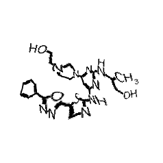 CC(CO)Nc1nc(Nc2ncc(-c3nnc(-c4ccccc4)o3)s2)cc(N2CCN(CCO)CC2)n1